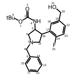 CC(C)(C)OC(=O)NC1CN(Cc2ccccc2)CC1c1cc(CO)ccc1F